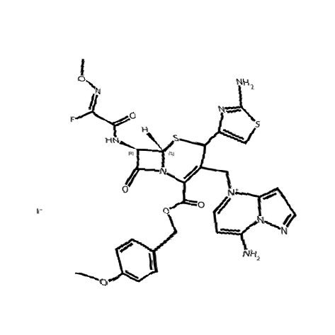 CON=C(F)C(=O)N[C@@H]1C(=O)N2C(C(=O)OCc3ccc(OC)cc3)=C(C[n+]3ccc(N)n4nccc43)C(c3csc(N)n3)S[C@@H]12.[I-]